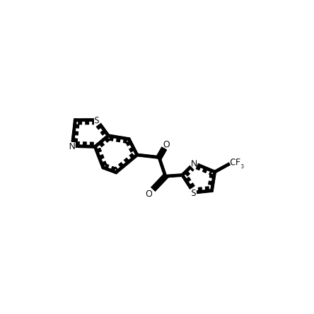 O=C(C(=O)c1nc(C(F)(F)F)cs1)c1ccc2ncsc2c1